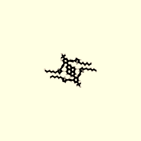 CCCCCCc1ccc(C#Cc2cc(C(C)(C)C)cc(C#Cc3ccc(CCCCCC)s3)c2-c2cc3ccc4cc(-c5c(C#Cc6ccc(CCCCCC)s6)cc(C(C)(C)C)cc5C#Cc5ccc(CCCCCC)s5)cc5ccc(c2)c3c45)s1